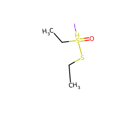 CCS[SH](=O)(I)CC